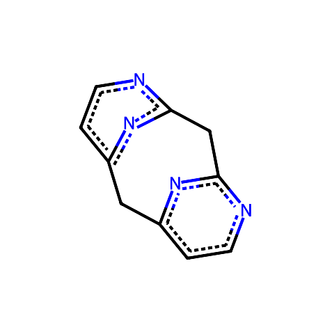 c1cc2nc(n1)Cc1nccc(n1)C2